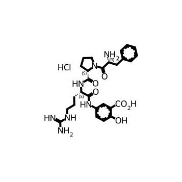 Cl.N=C(N)NCCC[C@H](NC(=O)[C@@H]1CCCN1C(=O)[C@H](N)Cc1ccccc1)C(=O)Nc1ccc(O)c(C(=O)O)c1